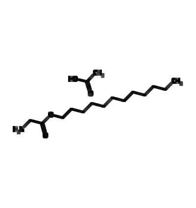 CC(=O)O.CCCCCCCCCCCCOC(=O)CN